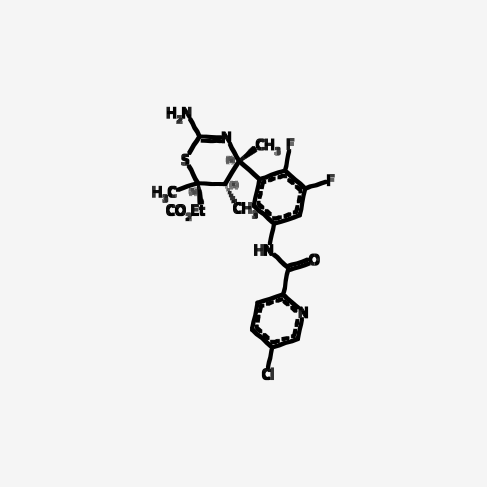 CCOC(=O)[C@@]1(C)SC(N)=N[C@](C)(c2cc(NC(=O)c3ccc(Cl)cn3)cc(F)c2F)[C@@H]1C